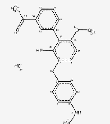 CNc1ccc(Cc2ccc(OC)c(-c3cccc(C(C)=O)c3)c2F)cc1.Cl